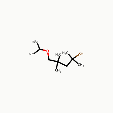 CCCCC(CCC)OCC(C)(C)CC(C)(C)S